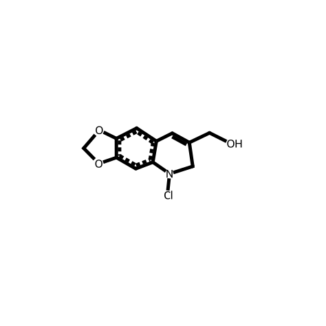 OCC1=Cc2cc3c(cc2N(Cl)C1)OCO3